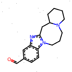 O=Cc1ccc2c(c1)nc1n2CCCN2CCCCC2C1